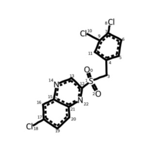 O=S(=O)(Cc1ccc(Cl)c(Cl)c1)c1cnc2cc(Cl)ccc2n1